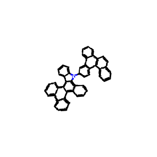 c1ccc2c(c1)ccc1c3ccccc3c3cc(-n4c5ccccc5c5c6c7ccccc7c7ccccc7c6c6ccccc6c54)ccc3c21